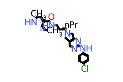 C/C=C\C(=C/C(C)=N)C(=O)NCC[C@@H](CCC)N1Cc2cnc(Nc3ccc(Cl)cc3)nc2C1